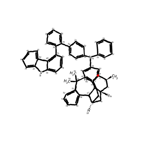 C[C@H]1C[C@@H]2C[C@@H]3C[C@H](C1)C21c2ccc(N(c4ccccc4)c4ccc(-c5ccccc5-c5cccc6sc7ccccc7c56)cc4)cc2C(C)(C)c2ccccc2C31